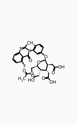 CC(=O)OC[C@H]1O[C@@H](Oc2cccc(-n3c(C)nc4cccc(F)c4c3=O)c2)[C@@H](CC(=O)O)[C@H](CC(=O)O)[C@@H]1CC(=O)O